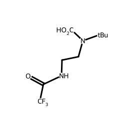 CC(C)(C)N(CCNC(=O)C(F)(F)F)C(=O)O